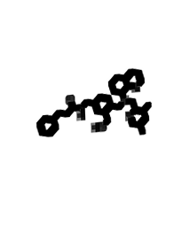 Cc1cnc(CN(Cc2ccc(CNC(=O)CCc3ccccc3)cc2CO)C2CCCc3cccnc32)c(C)c1